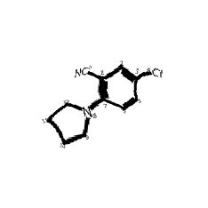 N#Cc1cc(Cl)ccc1N1CCCC1